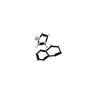 C1=Cc2ccccc2CC1.c1c[nH]nn1